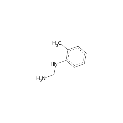 Cc1ccccc1NCN